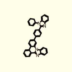 C1=CCCC(n2c(-c3ccc(-c4ccc5c6ccccc6c6nc7ccccc7n6c5c4)cc3)nc3ccccc32)=C1